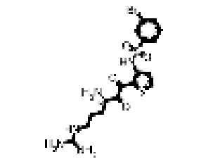 NC(N)NCCC[C@H](N)C(=O)C(=O)c1sccc1NS(=O)(=O)c1cccc(Br)c1